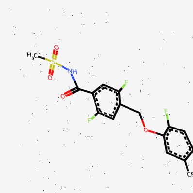 CS(=O)(=O)NC(=O)c1cc(F)c(COc2cc(C(F)(F)F)ccc2F)cc1F